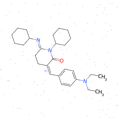 CCN(CC)c1ccc(/C=C2/CCC(=NC3CCCCC3)N(C3CCCCC3)C2=O)cc1